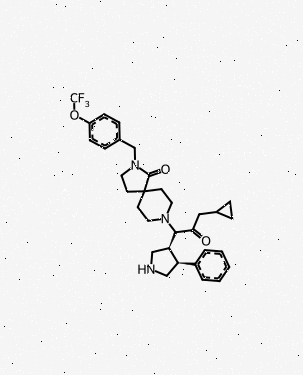 O=C(CC1CC1)C([C@@H]1CNC[C@@H]1c1ccccc1)N1CCC2(CCN(Cc3ccc(OC(F)(F)F)cc3)C2=O)CC1